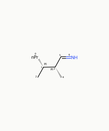 CCC[C@@H](C)[C@@H](C)C=N